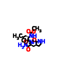 COC(=O)N[C@@H](CC(C)C)C(=O)N[C@@H](C[C@@H]1CCNC1=O)C(N)=O